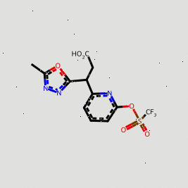 Cc1nnc(C(CC(=O)O)c2cccc(OS(=O)(=O)C(F)(F)F)n2)o1